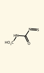 O=C(O)NC(=O)N=S